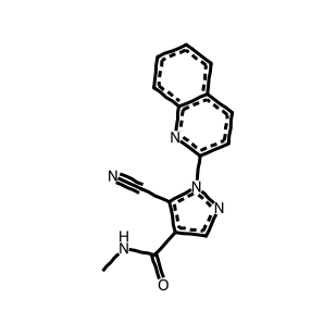 CNC(=O)c1cnn(-c2ccc3ccccc3n2)c1C#N